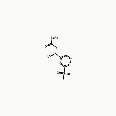 CNC(=O)C[C@H](N)c1ccnc(S(C)(=O)=O)c1